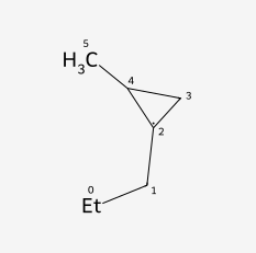 CCC[C]1CC1C